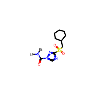 CCN(CC)C(=O)n1cnc(S(=O)(=O)CC2CCCCC2)n1